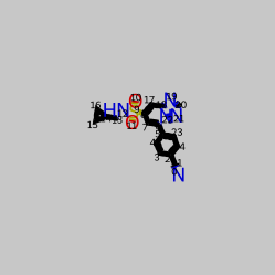 N#Cc1ccc(-c2cc(S(=O)(=O)NCC3CC3)cc3ncnn23)cc1